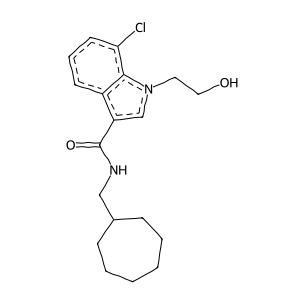 O=C(NCC1CCCCCC1)c1cn(CCO)c2c(Cl)cccc12